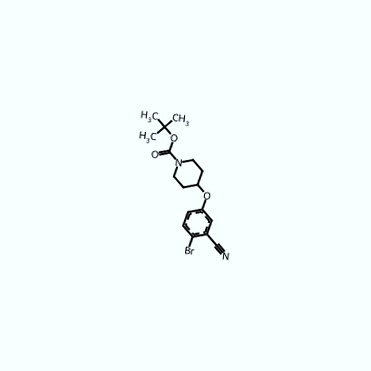 CC(C)(C)OC(=O)N1CCC(Oc2ccc(Br)c(C#N)c2)CC1